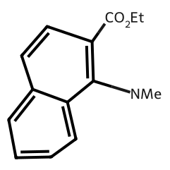 CCOC(=O)c1ccc2ccccc2c1NC